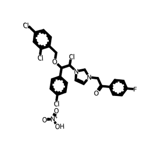 O=C(CN1C=CN(C(Cl)C(OCc2ccc(Cl)cc2Cl)c2ccc(Cl)cc2)C1)c1ccc(F)cc1.O=[N+]([O-])O